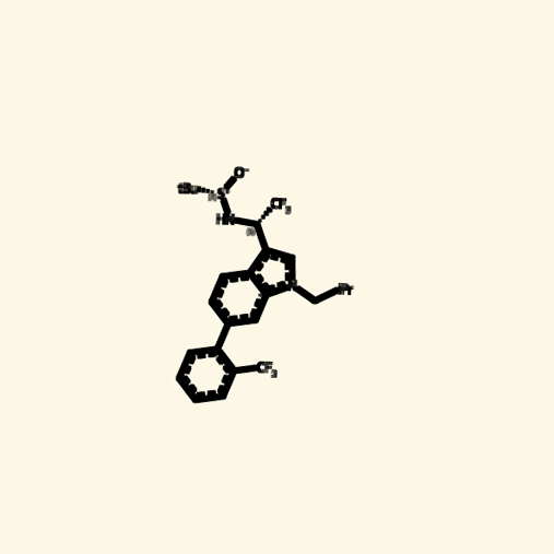 CC(C)Cn1cc([C@H](N[S@@+]([O-])C(C)(C)C)C(F)(F)F)c2ccc(-c3ccccc3C(F)(F)F)cc21